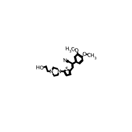 COc1ccc(/C(C#N)=C/c2ccc(N3CCN(CCO)CC3)s2)cc1OC